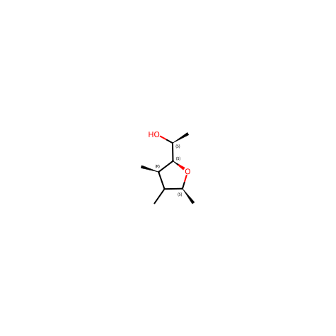 CC1[C@H](C)O[C@H]([C@H](C)O)[C@@H]1C